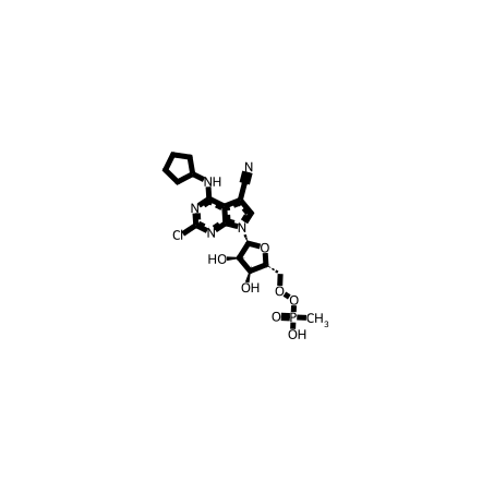 CP(=O)(O)OOC[C@H]1O[C@@H](n2cc(C#N)c3c(NC4CCCC4)nc(Cl)nc32)[C@H](O)[C@@H]1O